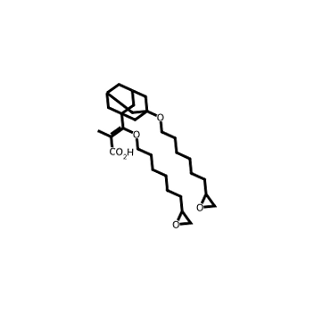 CC(C(=O)O)=C(OCCCCCCC1CO1)C12CC3CC(CC(OCCCCCCC4CO4)(C3)C1)C2